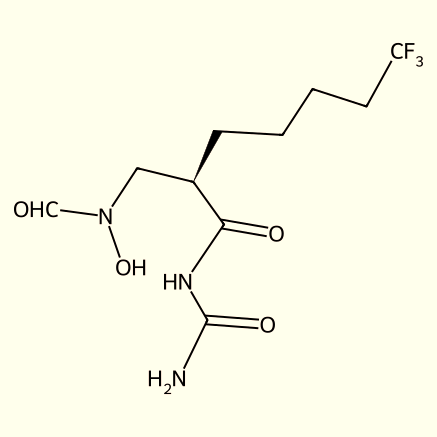 NC(=O)NC(=O)[C@H](CCCCC(F)(F)F)CN(O)C=O